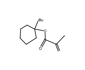 C=C(C)C(=O)OC1(C(C)CC)CCCCC1